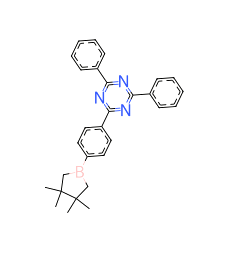 CC1(C)CB(c2ccc(-c3nc(-c4ccccc4)nc(-c4ccccc4)n3)cc2)CC1(C)C